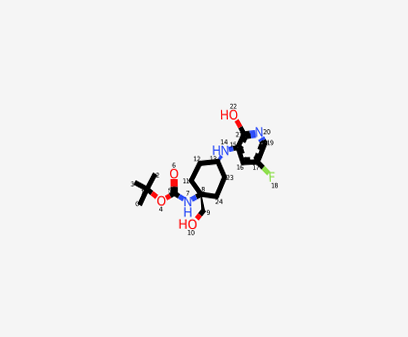 CC(C)(C)OC(=O)N[C@]1(CO)CC[C@@H](Nc2cc(F)cnc2O)CC1